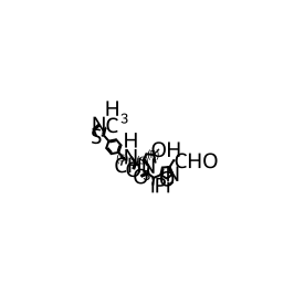 Cc1ncsc1-c1ccc([C@H](C)NC(=O)[C@@H]2C[C@@H](O)CN2C(=O)C(c2cc(CC=O)no2)C(C)C)cc1